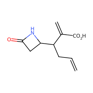 C=CCC(C(=C)C(=O)O)C1CC(=O)N1